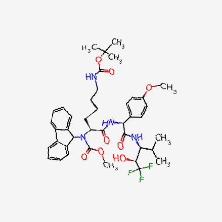 COC(=O)N(C1c2ccccc2-c2ccccc21)[C@@H](CCCCNC(=O)OC(C)(C)C)C(=O)N[C@H](C(=O)N[C@@H](C(C)C)[C@H](O)C(F)(F)F)c1ccc(OC)cc1